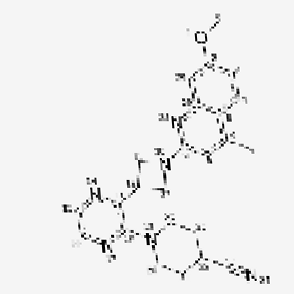 COc1ccc2c(C)cc(N3CC(c4nccnc4N4CCC(C#N)CC4)C3)nc2c1